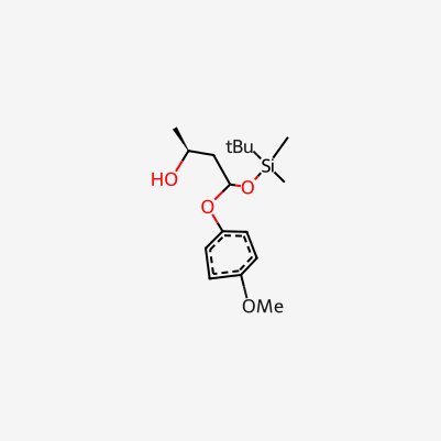 COc1ccc(OC(C[C@H](C)O)O[Si](C)(C)C(C)(C)C)cc1